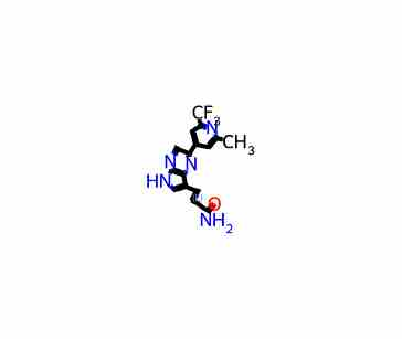 Cc1cc(-c2cnc3[nH]cc(/C=C/C(N)=O)c3n2)cc(C(F)(F)F)n1